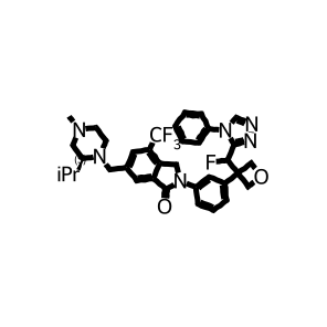 CC(C)[C@H]1CN(C)CCN1Cc1cc2c(c(C(F)(F)F)c1)CN(c1cccc(C3(C(F)c4nncn4-c4ccccc4)COC3)c1)C2=O